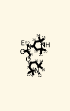 CCN(C(=O)COC1CC(C)(C)N(C)C(C)(C)C1)C1CC(C)(C)NC(C)(C)C1